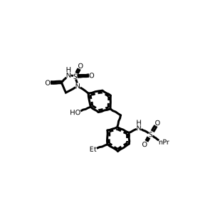 CCCS(=O)(=O)Nc1ccc(CC)cc1Cc1ccc(N2CC(=O)NS2(=O)=O)c(O)c1